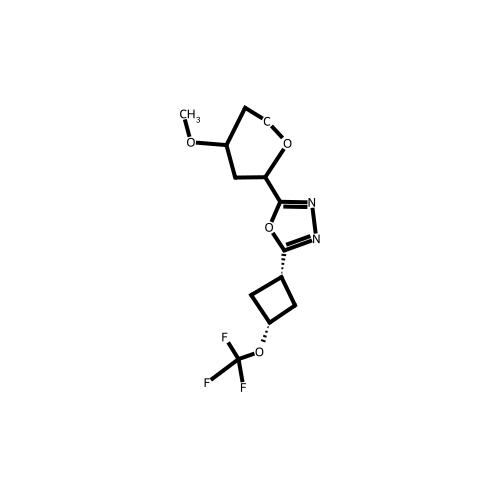 COC1CCOC(c2nnc([C@H]3C[C@@H](OC(F)(F)F)C3)o2)C1